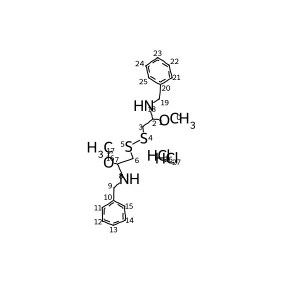 COC(CSSCC(NCc1ccccc1)OC)NCc1ccccc1.Cl.Cl